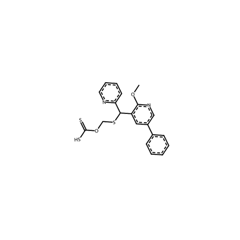 COc1ncc(-c2ccccc2)cc1C(SCOC(=S)S)c1ccccn1